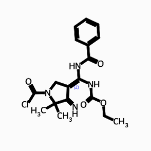 CCOC(=O)N/C(NC(=O)c1ccccc1)=C1/CN(C(=O)Cl)C(C)(C)C1=N